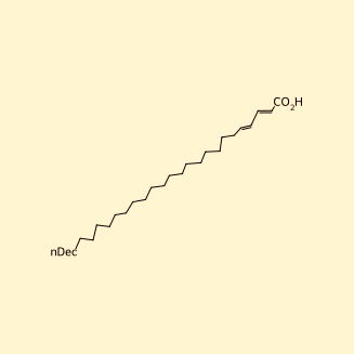 CCCCCCCCCCCCCCCCCCCCCCCCCCCC/C=C/C=C/C(=O)O